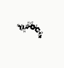 COc1cc(C2(F)CCN(C(=O)OC(C)(C)C)CC2)ccc1-c1cc(Nc2cnc(C#N)cn2)n[nH]1